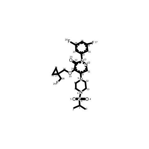 CC(C)S(=O)(=O)N1CCN(c2cnn(-c3cc(F)cc(F)c3)c(=O)c2OCC2(CF)CC2)CC1